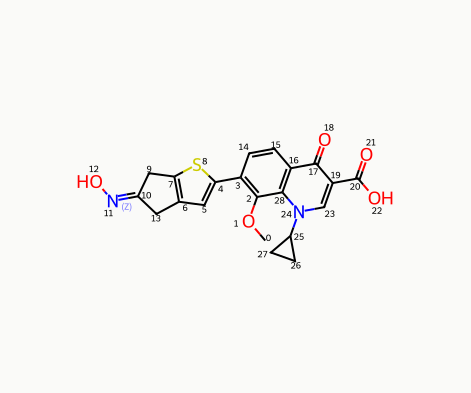 COc1c(-c2cc3c(s2)C/C(=N\O)C3)ccc2c(=O)c(C(=O)O)cn(C3CC3)c12